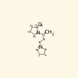 [CH2]C(CCN1CCCC1)N1CCCC1=O